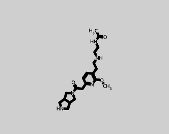 COc1nc(CC(=O)N2CC3CNCC3C2)ccc1CCNCCNC(C)=O